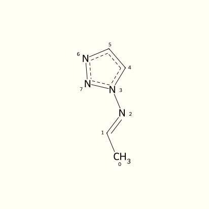 CC=Nn1ccnn1